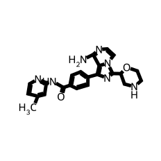 Cc1ccnc(NC(=O)c2ccc(-c3nc(C4CNCCO4)n4ccnc(N)c34)cc2)c1